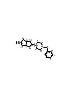 c1ccc(CN2CCN(C3CC4CNCC4C3)CC2)cc1